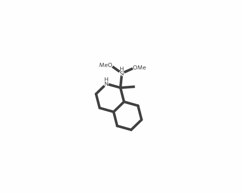 CO[SiH](OC)C1(C)NCCC2CCCCC21